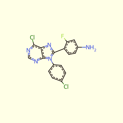 Nc1ccc(-c2nc3c(Cl)ncnc3n2-c2ccc(Cl)cc2)c(F)c1